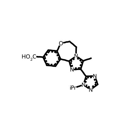 Cc1c(-c2ncnn2C(C)C)nc2n1CCOc1cc(C(=O)O)ccc1-2